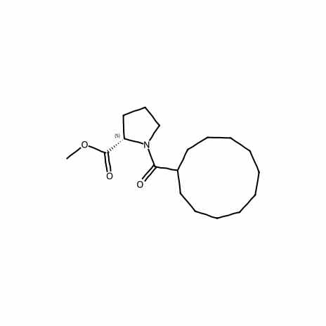 COC(=O)[C@@H]1CCCN1C(=O)C1CCCCCCCCCC1